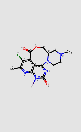 Cc1nc2c3c(nc(=O)n2I)N2CCN(C)CC2COC(=O)c3c1F